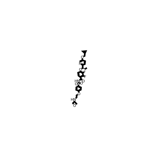 CC[C@@H](Oc1ccc(C(=O)NS(=O)(=O)c2ccc(OCCNC3COC3)cc2)c(F)c1F)c1ccc(OCC2CC2)cn1